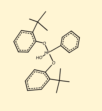 CC(C)(C)c1ccccc1O[PH](O)(Oc1ccccc1C(C)(C)C)c1ccccc1